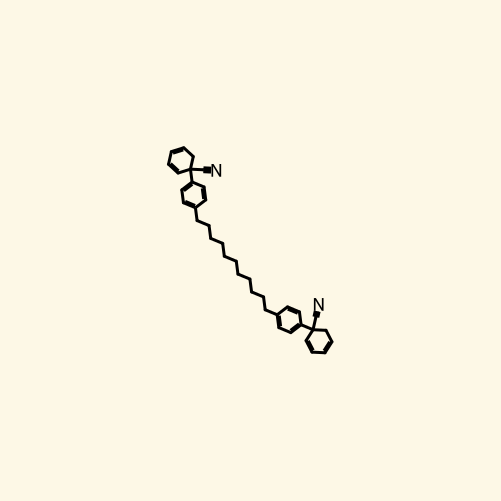 N#CC1(c2ccc(CCCCCCCCCCCc3ccc(C4(C#N)C=CC=CC4)cc3)cc2)C=CC=CC1